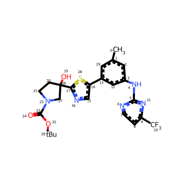 Cc1cc(Nc2nccc(C(F)(F)F)n2)cc(-c2cnc(C3(O)CCN(C(=O)OC(C)(C)C)C3)s2)c1